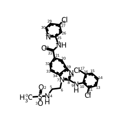 CS(=O)(=O)NCCn1c(Nc2c(Cl)cccc2Cl)nc2cc(C(=O)Nc3cc(Cl)ccn3)ccc21